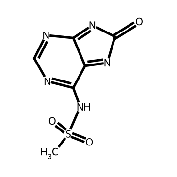 CS(=O)(=O)Nc1ncnc2c1=NC(=O)N=2